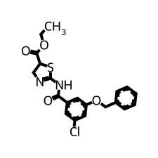 CCOC(=O)C1CN=C(NC(=O)c2cc(Cl)cc(OCc3ccccc3)c2)S1